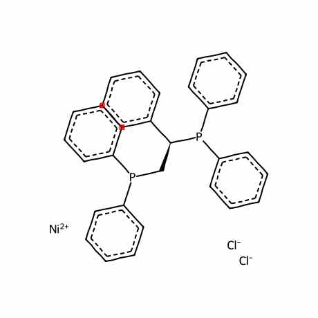 [Cl-].[Cl-].[Ni+2].c1ccc([C@H](CP(c2ccccc2)c2ccccc2)P(c2ccccc2)c2ccccc2)cc1